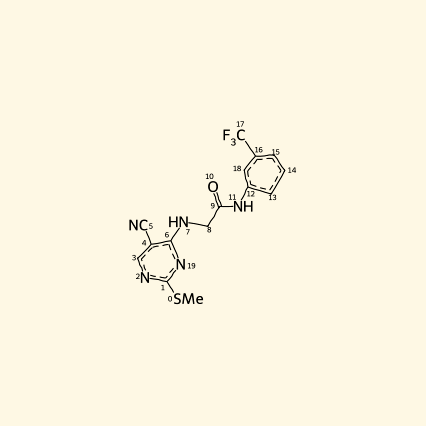 CSc1ncc(C#N)c(NCC(=O)Nc2cccc(C(F)(F)F)c2)n1